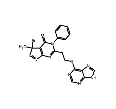 CC1(Br)N=Nc2nc(CCSc3ncnc4[nH]cnc34)n(-c3ccccc3)c(=O)c21